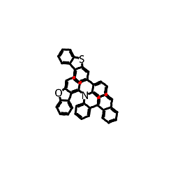 c1ccc(N(c2ccccc2-c2cccc3ccccc23)c2cccc3oc4ccccc4c23)c(-c2ccc3c(c2)sc2ccccc23)c1